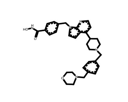 O=C(NO)c1ccc(Cn2ccc3c(C4CCN(Cc5ccc(CN6CCOCC6)cc5)CC4)ccnc32)cc1